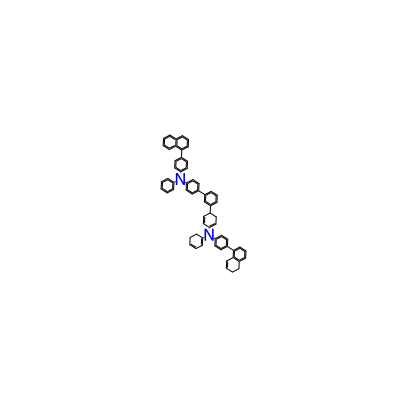 C1=CCCC(N(C2=CCC(c3cccc(-c4ccc(N(c5ccccc5)c5ccc(-c6cccc7ccccc67)cc5)cc4)c3)C=C2)c2ccc(-c3cccc4c3C=CCC4)cc2)=C1